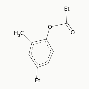 CCC(=O)Oc1ccc(CC)cc1C